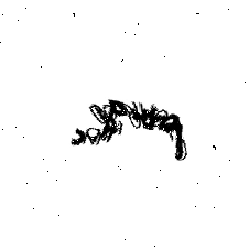 CCC(CC)NC(=O)Nc1cc(OC)c(Oc2ccc(NC(=O)c3ccc(OC4CCN(CCOC)CC4)c(C)c3)cc2)cc1F